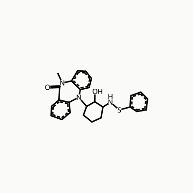 CN1C(=O)c2ccccc2N(C2CCCC(NSc3ccccc3)C2O)c2ccccc21